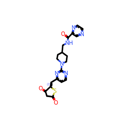 O=C1CC(=O)/C(=C/c2ccnc(N3CCC(CNC(=O)c4cnccn4)CC3)n2)S1